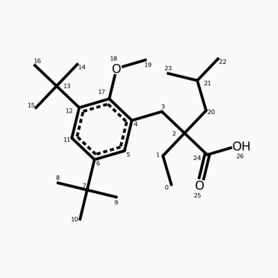 CCC(Cc1cc(C(C)(C)C)cc(C(C)(C)C)c1OC)(CC(C)C)C(=O)O